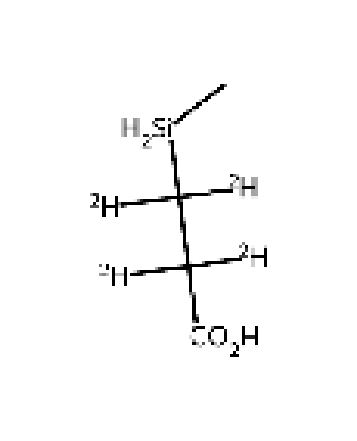 [2H]C([2H])([SiH2]C)C([2H])([2H])C(=O)O